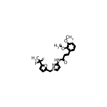 COc1cccc(/C=C/C(=O)Nc2ccn(Cc3ccc(C(C)(F)F)o3)n2)c1OC